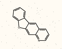 c1cnc2cc3oc4ccccc4c3cc2c1